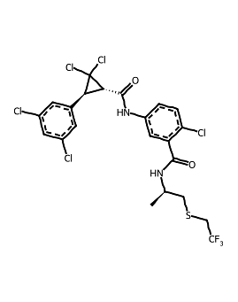 C[C@H](CSCC(F)(F)F)NC(=O)c1cc(NC(=O)[C@@H]2[C@@H](c3cc(Cl)cc(Cl)c3)C2(Cl)Cl)ccc1Cl